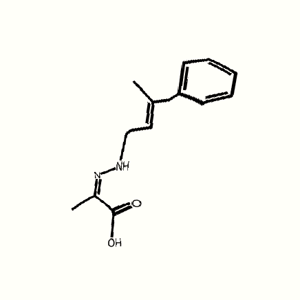 CC(=CCNN=C(C)C(=O)O)c1ccccc1